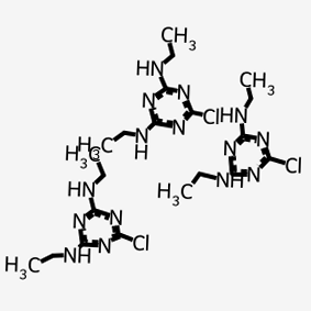 CCNc1nc(Cl)nc(NCC)n1.CCNc1nc(Cl)nc(NCC)n1.CCNc1nc(Cl)nc(NCC)n1